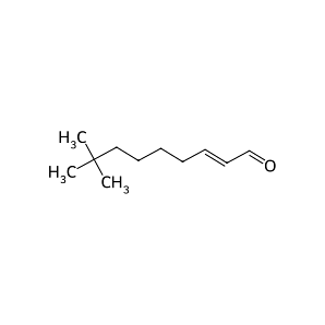 CC(C)(C)CCCCC=CC=O